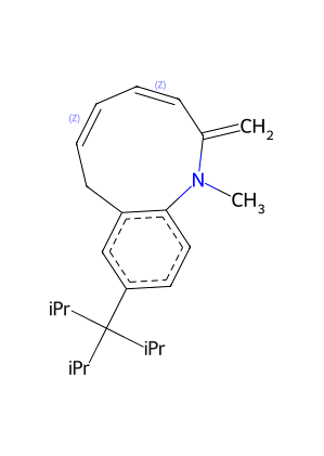 C=C1/C=C\C=C/Cc2cc(C(C(C)C)(C(C)C)C(C)C)ccc2N1C